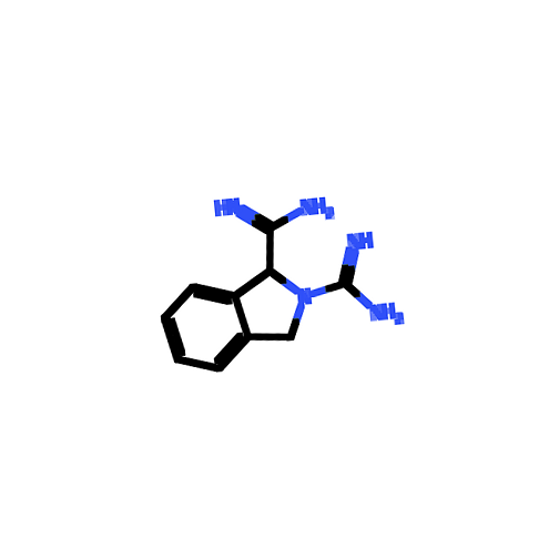 N=C(N)C1c2ccccc2CN1C(=N)N